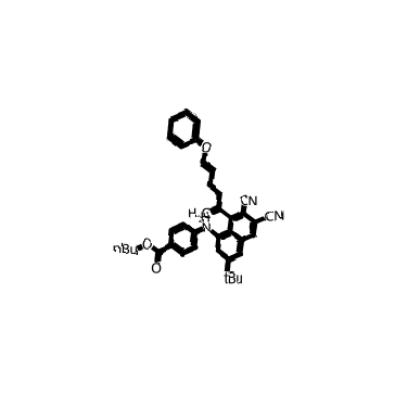 C=C(CC/C=C/OC1=CCCC=C1)c1c(C#N)c(C#N)cc2c1=C(Nc1ccc(C(=O)OCCCC)cc1)CC(C(C)(C)C)C=2